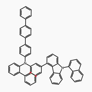 c1ccc(-c2ccc(-c3ccc(N(c4cccc(-c5cccc6c5c5ccccc5n6-c5cccc6ccccc56)c4)c4ccccc4-c4ccccc4)cc3)cc2)cc1